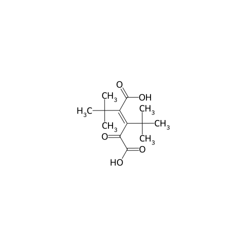 CC(C)(C)C(C(=O)O)=C(C(=O)C(=O)O)C(C)(C)C